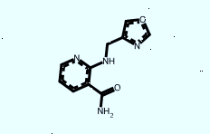 NC(=O)c1cccnc1NCc1cocn1